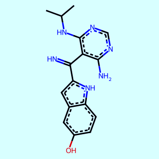 CC(C)Nc1ncnc(N)c1C(=N)c1cc2cc(O)ccc2[nH]1